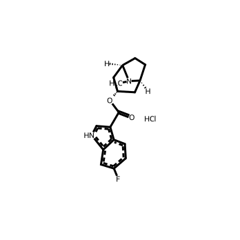 CN1[C@@H]2CC[C@H]1C[C@H](OC(=O)c1c[nH]c3cc(F)ccc13)C2.Cl